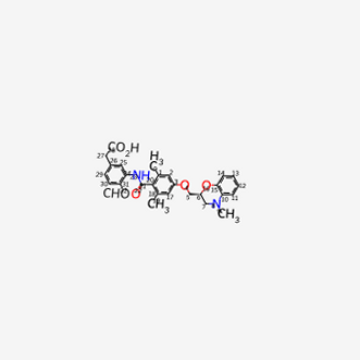 Cc1cc(OC[C@@H]2CN(C)c3ccccc3O2)cc(C)c1C(=O)Nc1cc(CC(=O)O)ccc1C=O